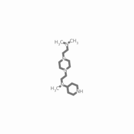 CN(C)CCN1CCN(CCN(C)C2CCNCC2)CC1